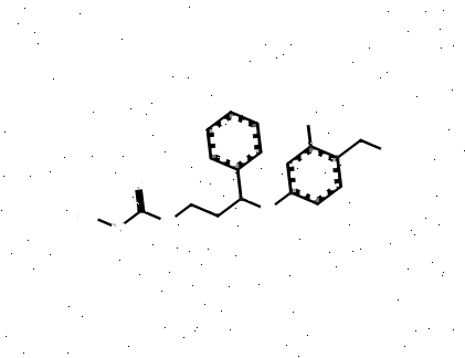 CNC(=O)OCCC(Oc1ccc(CCl)c(F)c1)c1ccccc1